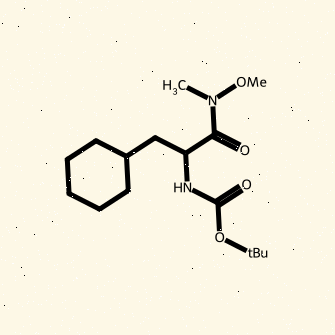 CON(C)C(=O)C(CC1CCCCC1)NC(=O)OC(C)(C)C